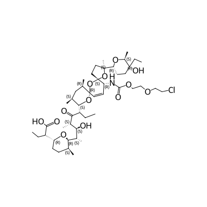 CCC(C(=O)[C@@H](C)[C@@H](O)[C@H](C)[C@@H]1O[C@@H](C(CC)C(=O)O)CC[C@@H]1C)[C@H]1O[C@]2(C=C[C@@H](NC(=O)OCCOCCCl)[C@]3(CC[C@@](C)([C@H]4CC[C@](O)(CC)[C@H](C)O4)O3)O2)[C@H](C)C[C@@H]1C